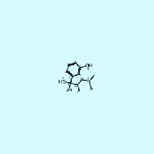 CCC(O)(c1cccc(O)c1)[C@H](C)CN(C)C